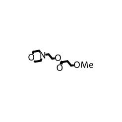 COCCC(=O)OCCN1CCOCC1